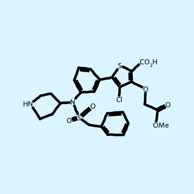 COC(=O)COc1c(C(=O)O)sc(-c2cccc(N(C3CCNCC3)S(=O)(=O)Cc3ccccc3)c2)c1Cl